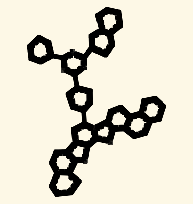 c1ccc(-c2nc(-c3ccc(-c4cc5c6ccc7ccccc7c6sc5c5nc6c7ccc8ccccc8c7ccc6n45)cc3)nc(-c3ccc4ccccc4c3)n2)cc1